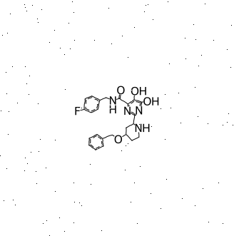 O=C(NCc1ccc(F)cc1)c1nc(C2CC(OCc3ccccc3)CCN2)nc(O)c1O